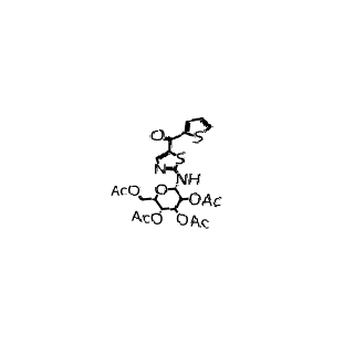 CC(=O)OCC1O[C@H](Nc2ncc(C(=O)c3cccs3)s2)C(OC(C)=O)C(OC(C)=O)[C@@H]1OC(C)=O